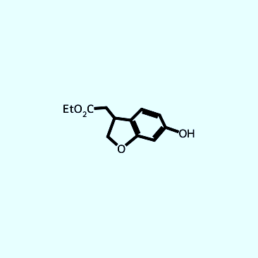 CCOC(=O)CC1COc2cc(O)ccc21